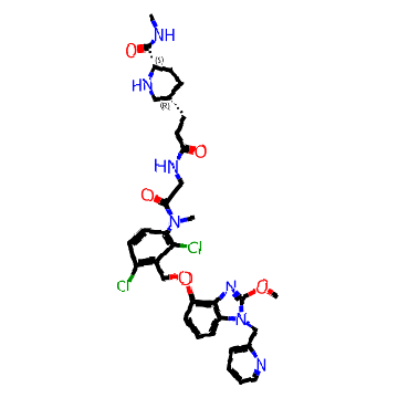 CNC(=O)[C@@H]1CC[C@H](CCC(=O)NCC(=O)N(C)c2ccc(Cl)c(COc3cccc4c3nc(OC)n4Cc3ccccn3)c2Cl)CN1